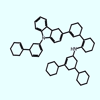 C1=CC(C2=CCCCC2)CC(N2C3=CC=C(C4=CC(C5=C(NC6C=C(C7CCCCC7)CC(C7CCCCC7)C6)CCCC5)CCC4)CC3c3ccccc32)=C1